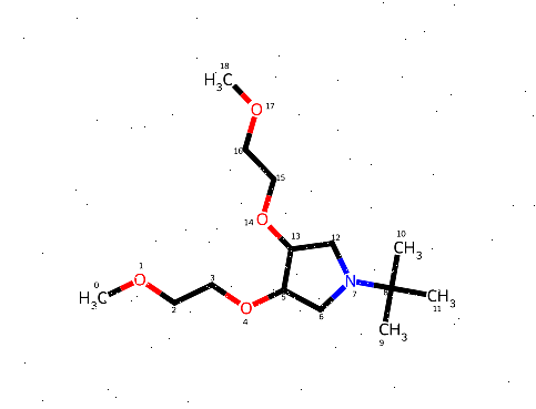 COCCOC1CN(C(C)(C)C)CC1OCCOC